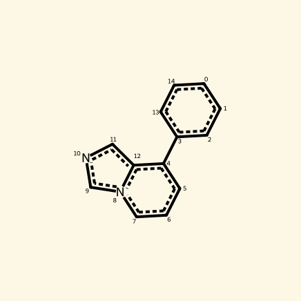 c1ccc(-c2cccn3cncc23)cc1